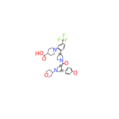 COc1ccc([C@@H]2CN(C3CCOCC3)C[C@H]2C(=O)N2CC[C@@H](c3ccc(C(F)(F)F)cc3N3CCC(C(=O)O)CC3)C2)cc1